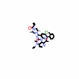 C=CC(=O)N1C[C@H](C)N(c2nc(=O)n(-c3c(N(CC)CC)ccnc3C(C)C)c3nc(-c4ccccc4C)c(Cl)cc23)C[C@H]1C